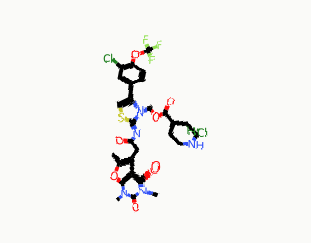 Cc1oc2c(c1CC(=O)/N=c1\scc(-c3ccc(OC(F)(F)F)c(Cl)c3)n1COC(=O)C1CCNCC1)c(=O)n(C)c(=O)n2C.Cl